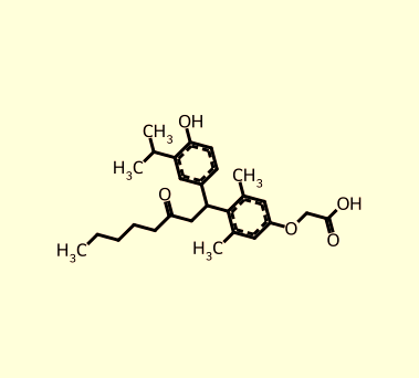 CCCCCC(=O)CC(c1ccc(O)c(C(C)C)c1)c1c(C)cc(OCC(=O)O)cc1C